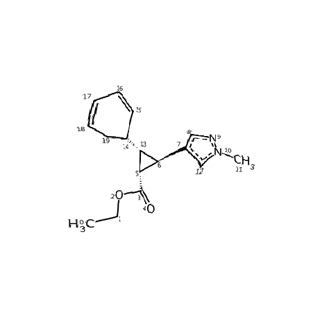 CCOC(=O)[C@H]1[C@H](c2cnn(C)c2)[C@H]1C1C=CC=CC1